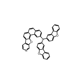 c1ccc2c(c1)oc1ccc(N(c3ccc4oc5ccccc5c4c3)c3ccc4ccc5ccc6c7ccncc7oc6c5c4c3)cc12